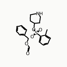 Cc1ccccc1S(=O)(=O)OC1CCNCC1.O=COCc1ccccc1